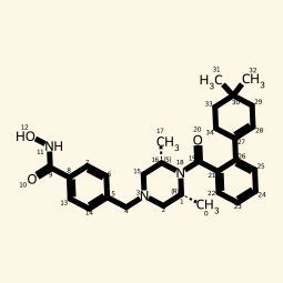 C[C@@H]1CN(Cc2ccc(C(=O)NO)cc2)C[C@H](C)N1C(=O)c1ccccc1C1=CCC(C)(C)CC1